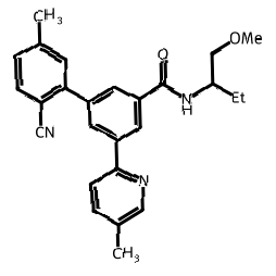 CCC(COC)NC(=O)c1cc(-c2ccc(C)cn2)cc(-c2cc(C)ccc2C#N)c1